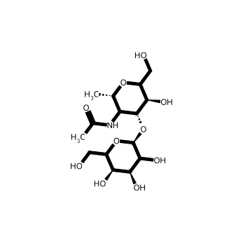 CC(=O)NC1[C@H](C)OC(CO)[C@@H](O)[C@@H]1O[C@@H]1OC(CO)[C@H](O)[C@H](O)C1O